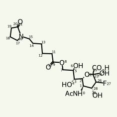 CC(=O)N[C@H]1[C@H]([C@H](O)[C@H](O)COC(=O)CCCCCN2CCCC2=O)OC(O)(C(=O)O)C(F)[C@@H]1O